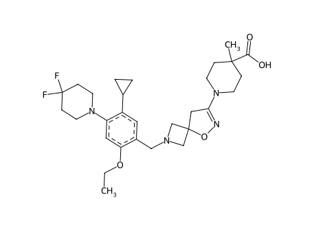 CCOc1cc(N2CCC(F)(F)CC2)c(C2CC2)cc1CN1CC2(CC(N3CCC(C)(C(=O)O)CC3)=NO2)C1